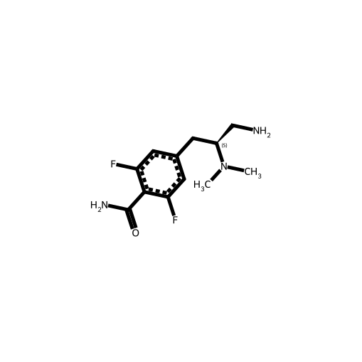 CN(C)[C@H](CN)Cc1cc(F)c(C(N)=O)c(F)c1